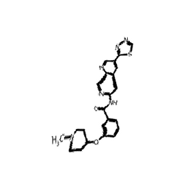 CN1CCC(Oc2cccc(C(=O)Nc3cc4cc(-c5nncs5)cnc4cn3)c2)CC1